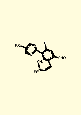 CCN(C)/C=C\c1cc(-c2ncc(C(F)(F)F)cn2)c(F)cc1C=O